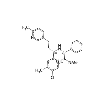 C=C(NC)[C@H](N[C@@H](CCc1ccc(C(F)(F)F)nc1)c1ccc(Cl)c(C)c1)c1ccccc1